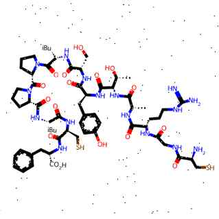 CC[C@H](C)[C@H](NC(=O)[C@@H]1CCCN1C(=O)[C@@H]1CCCN1C(=O)[C@@H](NC(=O)[C@H](CO)NC(=O)[C@H](Cc1ccc(O)cc1)NC(=O)[C@@H](NC(=O)[C@H](C)NC(=O)[C@H](CCCNC(=N)N)NC(=O)CNC(=O)[C@@H](N)CS)[C@@H](C)O)[C@@H](C)CC)C(=O)N[C@@H](CS)C(=O)N[C@@H](Cc1ccccc1)C(=O)O